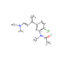 C=C(/C=C/N(C)C)c1ccc(F)c(N(C)C(C)=O)c1